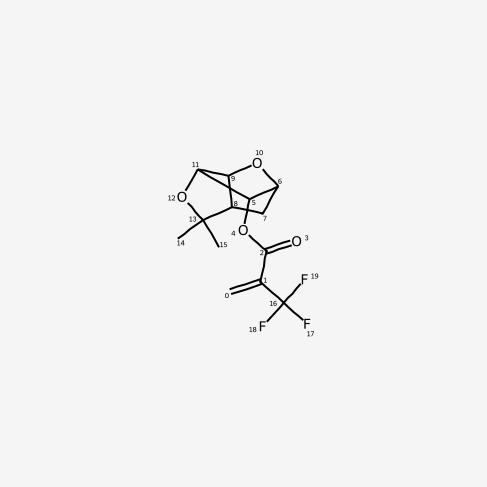 C=C(C(=O)OC1C2CC3C(O2)C1OC3(C)C)C(F)(F)F